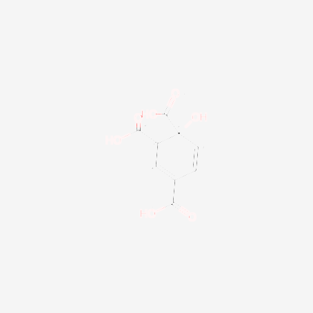 O=C(O)C1=CC(C(=O)O)C(O)(C(=O)O)C=C1